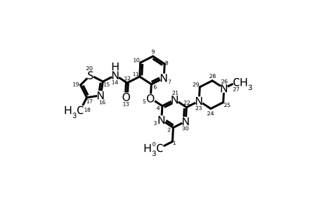 CCc1nc(Oc2ncccc2C(=O)Nc2nc(C)cs2)nc(N2CCN(C)CC2)n1